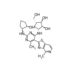 Cc1nc(N[C@H]2CCC[C@H]2O)nc(N[C@@H]2C[C@H](CO)[C@@H](O)[C@H]2O)c1-c1nc2c(C)nccc2s1